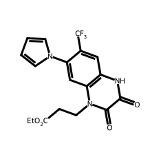 CCOC(=O)CCn1c(=O)c(=O)[nH]c2cc(C(F)(F)F)c(-n3cccc3)cc21